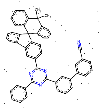 CC1(C)c2ccccc2C2(c3ccccc3-c3cc(-c4nc(-c5ccccc5)nc(-c5cccc(-c6cccc(C#N)c6)c5)n4)ccc32)c2ccccc21